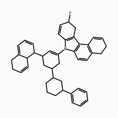 FC1C=Cc2c(c3c4c(ccc3n2C2=CC(C3C=CC=C5CCC=CC53)CC(C3CCCC(c5ccccc5)C3)C2)CCC=C4)C1